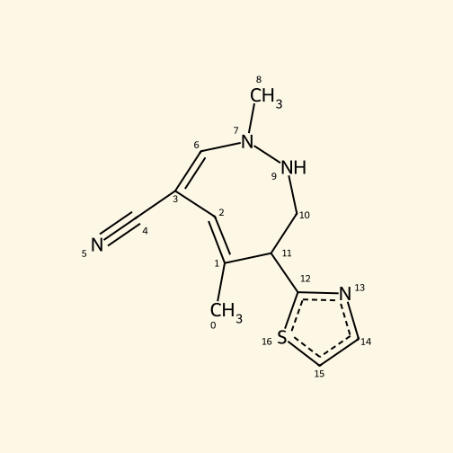 C/C1=C\C(C#N)=C/N(C)NCC1c1nccs1